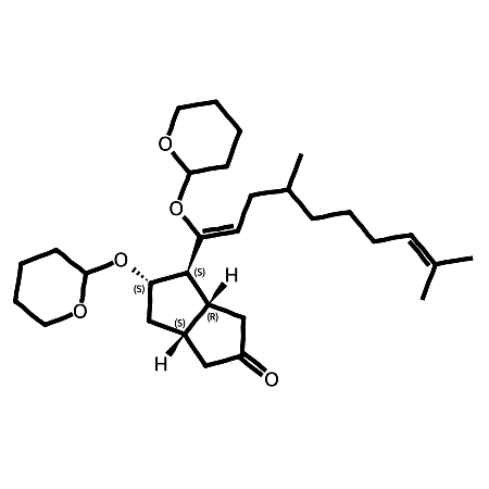 CC(C)=CCCCC(C)CC=C(OC1CCCCO1)[C@H]1[C@@H]2CC(=O)C[C@@H]2C[C@@H]1OC1CCCCO1